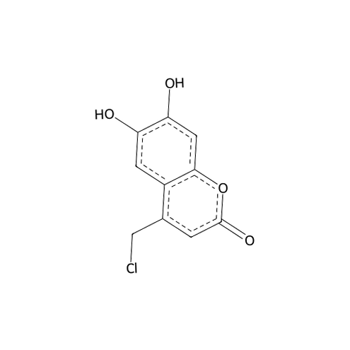 O=c1cc(CCl)c2cc(O)c(O)cc2o1